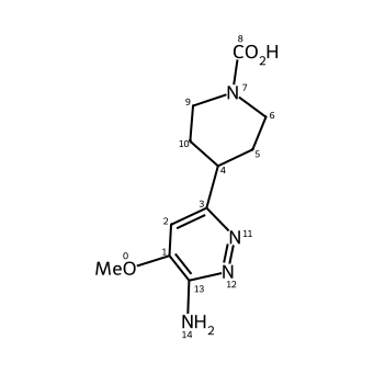 COc1cc(C2CCN(C(=O)O)CC2)nnc1N